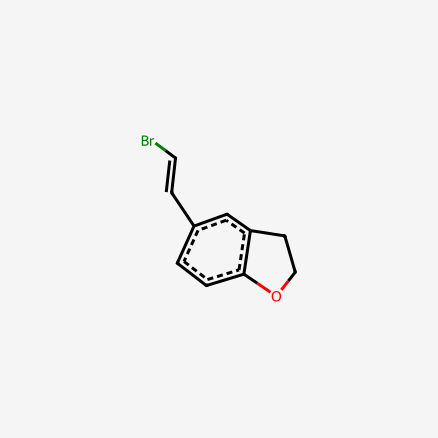 BrC=Cc1ccc2c(c1)CCO2